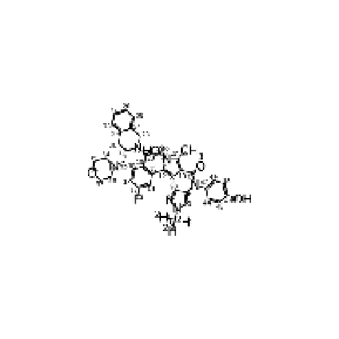 [2H]C([2H])([2H])n1cc(N(C(=O)c2cc(-c3cc(F)ccc3C(=O)N3Cc4ccccc4C[C@H]3CN3CCOCC3)n(C)c2C)c2ccc(O)cc2)cn1